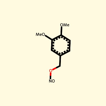 COc1ccc(CON=O)cc1OC